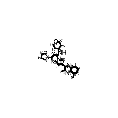 Cc1nc2c(C)cccc2nc1-c1cc2nc(N3CCCC3)cc(NC3CCOCC3)n2n1